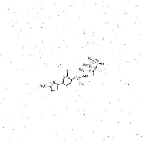 Cc1ncc(-c2ccc(C[C@@H](C#N)NC(=O)[C@H]3N[C@H]4C[C@H]3[C@@H]3C[C@@H]34)c(F)c2)s1